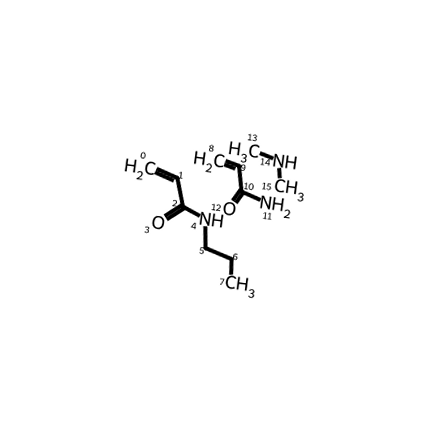 C=CC(=O)NCCC.C=CC(N)=O.CNC